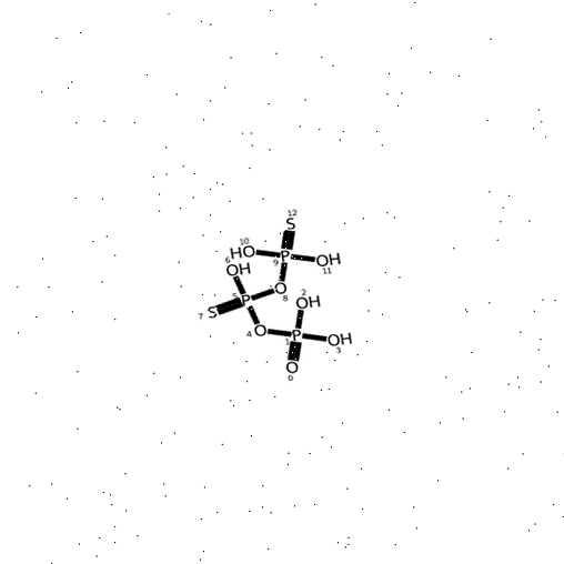 O=P(O)(O)OP(O)(=S)OP(O)(O)=S